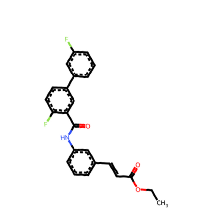 CCOC(=O)C=Cc1cccc(NC(=O)c2cc(-c3cccc(F)c3)ccc2F)c1